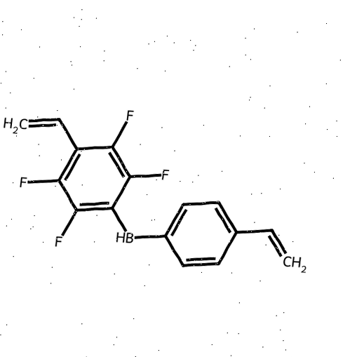 C=Cc1ccc(Bc2c(F)c(F)c(C=C)c(F)c2F)cc1